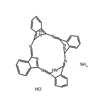 Cl.[SiH4].c1ccc2c(c1)-c1nc-2nc2[nH]c(nc3nc(nc4[nH]c(n1)c1ccccc41)-c1ccccc1-3)c1ccccc21